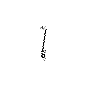 CCCCCCCCCCCCCCCC(=O)Oc1ccc(Cl)cc1